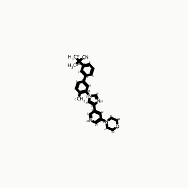 Cc1ccc(-c2cccc(C(C)(C)C#N)c2)cc1-n1cnc(-c2cncc(N3CCOCC3)c2)c1